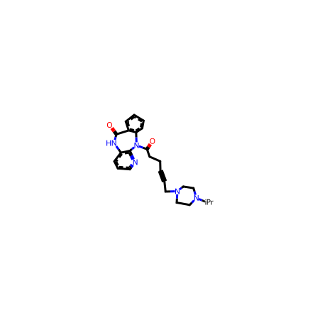 CC(C)N1CCN(CC#CCCC(=O)N2c3ccccc3C(=O)Nc3cccnc32)CC1